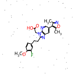 COc1ccc(CCc2nc3cc(-c4c(C)noc4C)cnc3n2CC(=O)O)cc1F